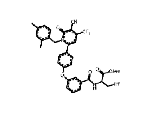 COC(=O)C(CC(C)C)NC(=O)c1cccc(Oc2ccc(-c3cc(C(F)(F)F)c(C#N)c(=O)n3Cc3ccc(C)cc3C)cc2)c1